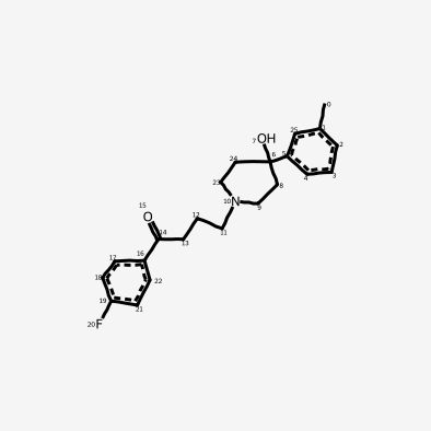 Cc1cccc(C2(O)CCN(CCCC(=O)c3ccc(F)cc3)CC2)c1